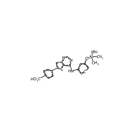 CC(C)(C)[Si](C)(C)Oc1cccc(Nc2ncnc3cc(-c4ccc(C(=O)O)cc4)sc23)c1